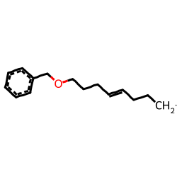 [CH2]CCC=CCCCOCc1ccccc1